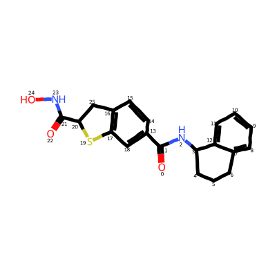 O=C(NC1CCCc2ccccc21)c1ccc2c(c1)SC(C(=O)NO)C2